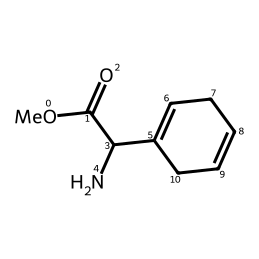 COC(=O)C(N)C1=CCC=CC1